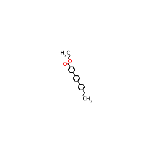 C=CCOC(=O)c1ccc(-c2ccc(-c3ccc(CC=C)cc3)cc2)cc1